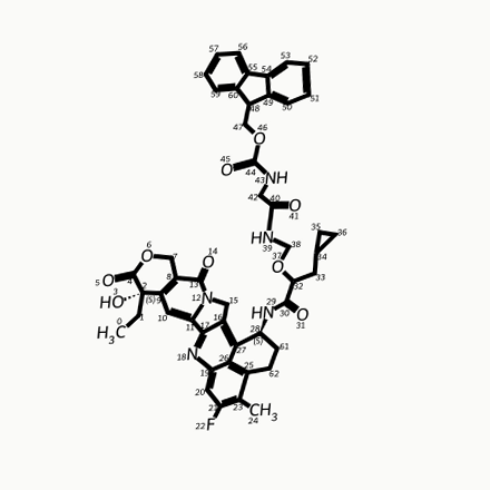 CC[C@@]1(O)C(=O)OCc2c1cc1n(c2=O)Cc2c-1nc1cc(F)c(C)c3c1c2[C@@H](NC(=O)C(CC1CC1)OCNC(=O)CNC(=O)OCC1c2ccccc2-c2ccccc21)CC3